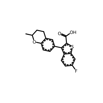 CC1CCc2cc(-c3c(C(=O)O)sc4cc(F)ccc34)ccc2O1